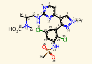 CC(C)n1cc(-c2ccnc(NC[C@H](C)N(C)C(=O)O)n2)c(-c2cc(Cl)cc(NS(C)(=O)=O)c2Cl)n1